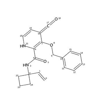 C=CC1(NC(=O)C2=C(OCc3ccccc3)C(=C=O)C=CN2)CCC1